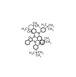 CC(C)(C)c1ccc(N2c3cc4c(cc3B3c5oc6ccccc6c5N(c5ccc(C(C)(C)C)cc5-c5ccccc5)c5cc(C(C)(C)C)cc2c53)C(C)(C)CCC4(C)C)cc1